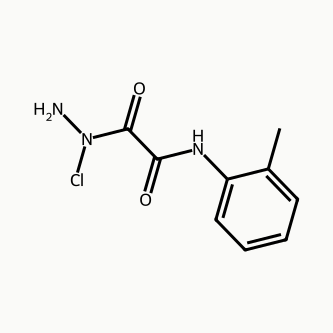 Cc1ccccc1NC(=O)C(=O)N(N)Cl